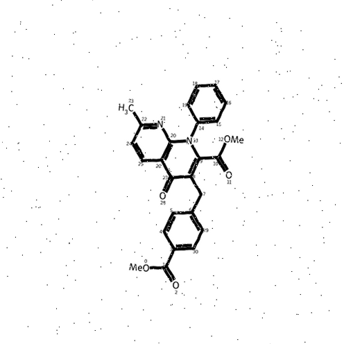 COC(=O)c1ccc(Cc2c(C(=O)OC)n(-c3ccccc3)c3nc(C)ccc3c2=O)cc1